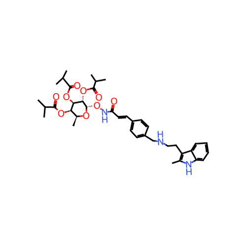 Cc1[nH]c2ccccc2c1CCNCc1ccc(/C=C/C(=O)NO[C@@H]2O[C@@H](C)[C@@H](OC(=O)C(C)C)[C@@H](OC(=O)C(C)C)[C@@H]2OC(=O)C(C)C)cc1